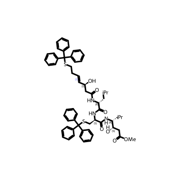 COC(=O)C[C@H](O)[C@H](NC(=O)[C@@H](CSC(c1ccccc1)(c1ccccc1)c1ccccc1)NC(=O)[C@@H](CC(C)C)NC(=O)C[C@H](O)/C=C/CCSC(c1ccccc1)(c1ccccc1)c1ccccc1)C(C)C